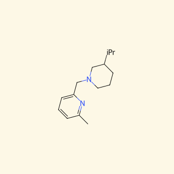 Cc1cccc(CN2CCCC(C(C)C)C2)n1